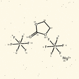 F[P-](F)(F)(F)(F)F.F[P-](F)(F)(F)(F)F.O=C1OCCO1.[Mg+2]